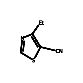 CCc1ncsc1C#N